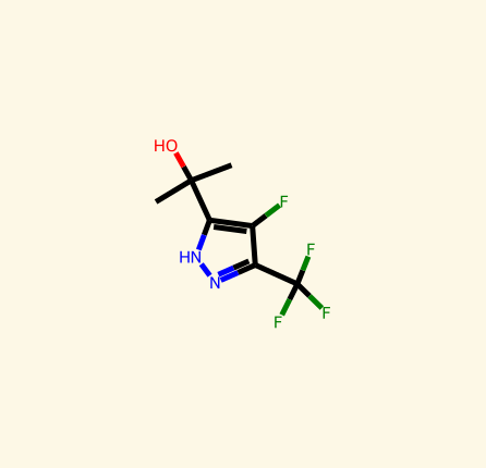 CC(C)(O)c1[nH]nc(C(F)(F)F)c1F